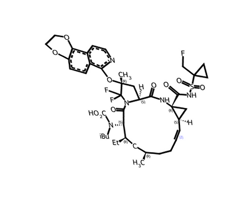 CCC(C)N(C(=O)O)[C@@H]1C(=O)N2[C@@H](C[C@@](C)(Oc3nccc4c5c(ccc34)OCCO5)C2(F)F)C(=O)N[C@]2(C(=O)NS(=O)(=O)C3(CF)CC3)C[C@H]2/C=C\CC[C@@H](C)C[C@H]1CC